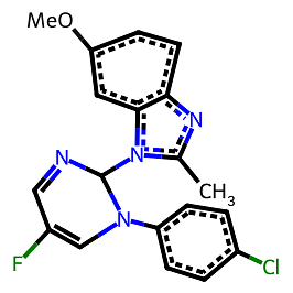 COc1ccc2nc(C)n(C3N=CC(F)=CN3c3ccc(Cl)cc3)c2c1